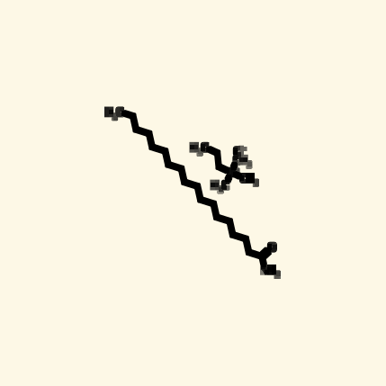 CCCCCCCCCCCCCCCCCC(N)=O.CCC[N+](C)(C)C.[Cl-]